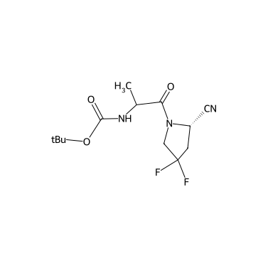 CC(NC(=O)OC(C)(C)C)C(=O)N1CC(F)(F)C[C@H]1C#N